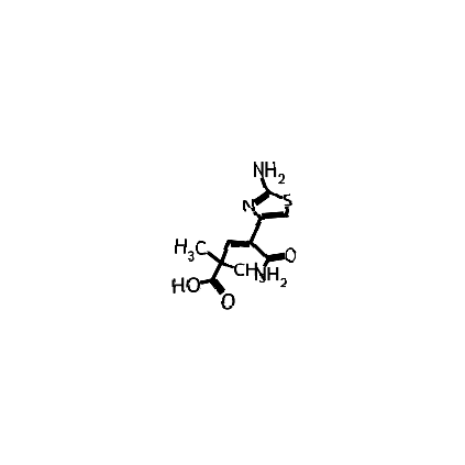 CC(C)(C=C(C(N)=O)c1csc(N)n1)C(=O)O